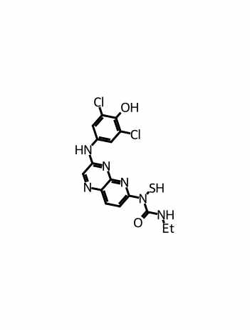 CCNC(=O)N(S)c1ccc2ncc(Nc3cc(Cl)c(O)c(Cl)c3)nc2n1